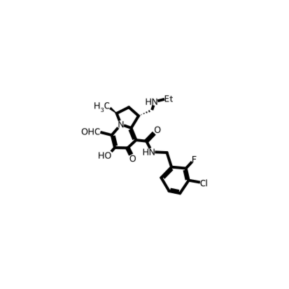 CCNC[C@H]1C[C@H](C)n2c(C=O)c(O)c(=O)c(C(=O)NCc3cccc(Cl)c3F)c21